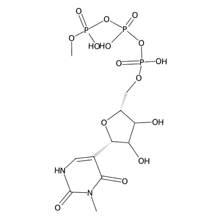 COP(=O)(O)OP(=O)(O)OP(=O)(O)OC[C@H]1O[C@@H](c2c[nH]c(=O)n(C)c2=O)C(O)C1O